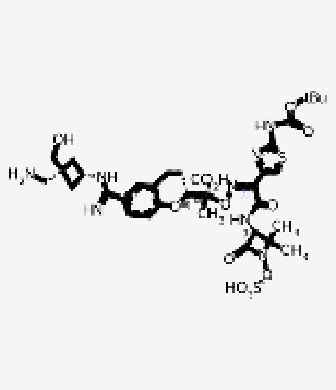 CC(C)(C)OC(=O)Nc1nc(/C(=N/O[C@](C)(C(=O)O)[C@H]2CCc3cc(C(=N)N[C@H]4C[C@](CN)(CO)C4)ccc3O2)C(=O)N[C@@H]2C(=O)N(OS(=O)(=O)O)C2(C)C)cs1